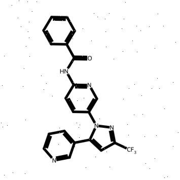 O=C(Nc1ccc(-n2nc(C(F)(F)F)cc2-c2cccnc2)cn1)c1ccccc1